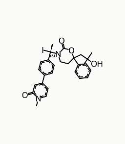 Cn1ccc(-c2ccc([C@](C)(I)N3CCC(CC(C)(C)O)(c4ccccc4)OC3=O)cc2)cc1=O